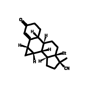 CC[C@]12CC[C@H]3[C@@H]([C@@H]4C[C@@H]4C4=CC(=O)CC[C@@H]43)[C@@H]1CC[C@]2(C)C#N